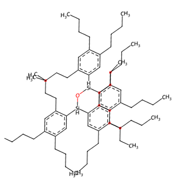 CCCCc1cc(CCCC)c([SiH](O[SiH](c2cc(CCCC)c(CCCC)cc2CCCC)c2cc(CCCC)c(CCCC)cc2CCCC)c2cc(CCCC)c(CCCC)cc2CCCC)cc1CCCC